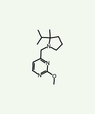 COc1nccc(CN2CCCC2(C)C(C)C)n1